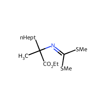 CCCCCCCC(C)(N=C(SC)SC)C(=O)OCC